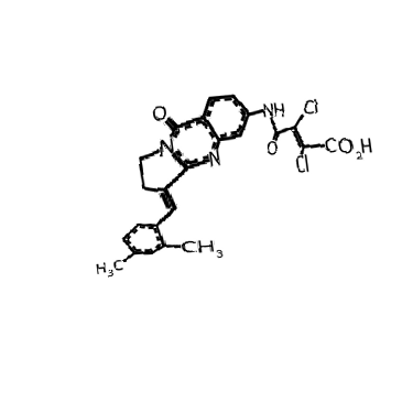 Cc1ccc(C=C2CCn3c2nc2cc(NC(=O)C(Cl)=C(Cl)C(=O)O)ccc2c3=O)c(C)c1